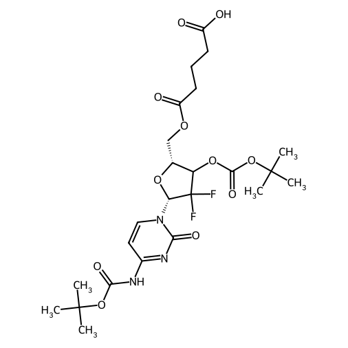 CC(C)(C)OC(=O)Nc1ccn([C@@H]2O[C@H](COC(=O)CCCC(=O)O)C(OC(=O)OC(C)(C)C)C2(F)F)c(=O)n1